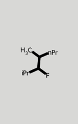 CCCC(C)C(F)C(C)C